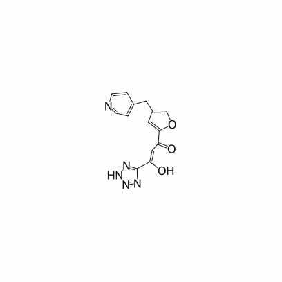 O=C(C=C(O)c1nn[nH]n1)c1cc(Cc2ccncc2)co1